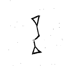 C1CC1C[N]C1CC1